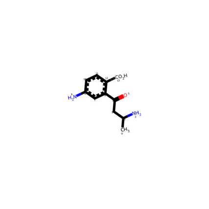 CC(N)CC(=O)c1cc(N)ccc1C(=O)O